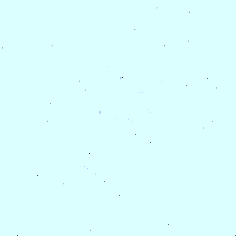 CCN(CCCOc1ccc(-c2cccc(S(=O)(=O)C3CC3)c2)c2c1[nH]c1ncc(C)cc12)C(F)(F)CO